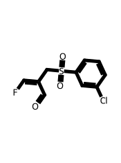 O=C/C(=C\F)CS(=O)(=O)c1cccc(Cl)c1